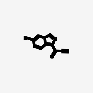 C#CC(=O)c1ncn2cc(Br)ccc12